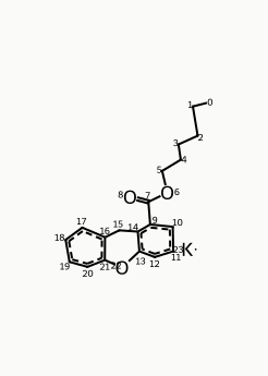 CCCCCCOC(=O)c1cccc2c1Cc1ccccc1O2.[K]